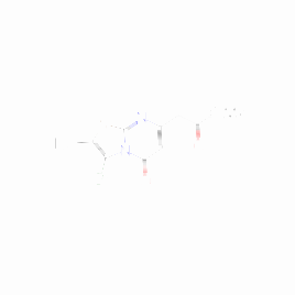 COC(=O)Cc1cc(=O)n2c(Br)c(C)sc2n1